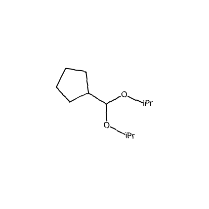 CC(C)OC(OC(C)C)C1CCCC1